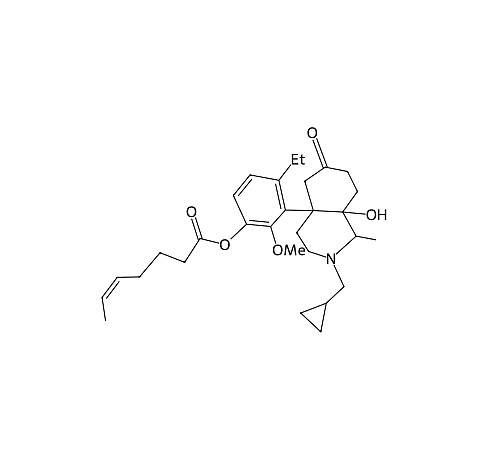 C/C=C\CCCC(=O)Oc1ccc(CC)c(C23CCN(CC4CC4)C(C)C2(O)CCC(=O)C3)c1OC